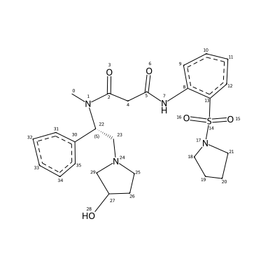 CN(C(=O)CC(=O)Nc1ccccc1S(=O)(=O)N1CCCC1)[C@H](CN1CCC(O)C1)c1ccccc1